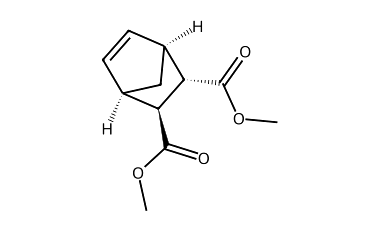 COC(=O)[C@@H]1[C@@H](C(=O)OC)[C@H]2C=C[C@@H]1C2